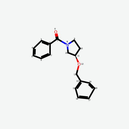 O=C(c1ccccc1)N1CC[C@@H](OCc2ccccc2)C1